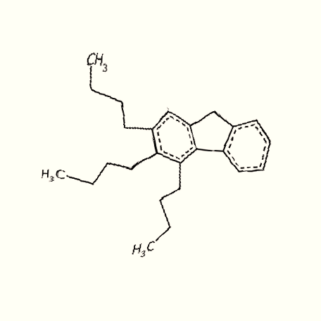 CCCCc1[c]c2c(c(CCCC)c1CCCC)-c1ccccc1C2